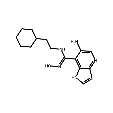 Nc1cnc2nc[nH]c2c1C(=NO)NCCC1CCCCC1